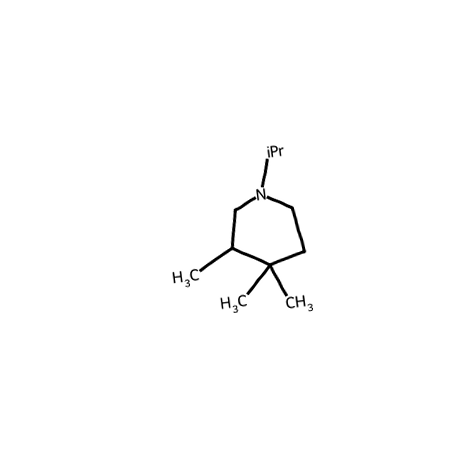 CC(C)N1CCC(C)(C)C(C)C1